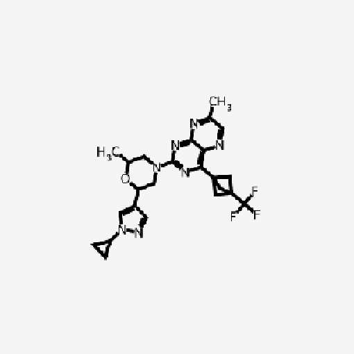 Cc1cnc2c(C34CC(C(F)(F)F)(C3)C4)nc(N3CC(C)OC(c4cnn(C5CC5)c4)C3)nc2n1